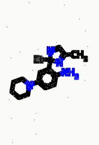 CCC1(c2cc(N3CCCCC3)ccc2N)N=CC(C)=N1